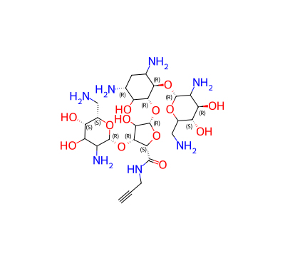 C#CCNC(=O)[C@H]1O[C@@H](O[C@@H]2C(O)[C@H](N)CC(N)[C@H]2O[C@H]2OC(CN)[C@@H](O)[C@H](O)C2N)C(O)[C@H]1O[C@H]1O[C@@H](CN)[C@@H](O)C(O)C1N